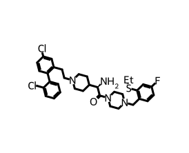 CCSc1cc(F)ccc1CN1CCN(C(=O)[C@H](N)C2CCN(CCc3cc(Cl)ccc3-c3ccccc3Cl)CC2)CC1